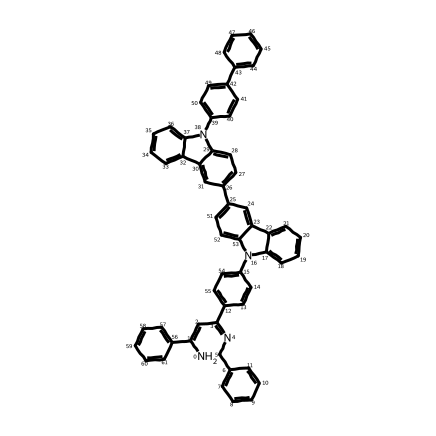 N/C(=C\C(=N/Cc1ccccc1)c1ccc(-n2c3ccccc3c3cc(-c4ccc5c(c4)c4ccccc4n5-c4ccc(-c5ccccc5)cc4)ccc32)cc1)c1ccccc1